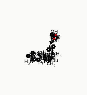 C=CCC1(C(C)CC)C(=O)NC(=O)NC1=O.CC(C)Cc1ccc(C(C)C(=O)O)cc1.CC(CN1c2ccccc2Sc2ccccc21)N(C)C.CC[C@@H](c1cccc(O)c1)[C@@H](C)CN(C)C.NC(=O)C[S+]([O-])C(c1ccccc1)c1ccccc1.O=C1CC[C@@]2(O)[C@H]3Cc4ccc(O)c5c4[C@@]2(CCN3CC2CC2)[C@H]1O5